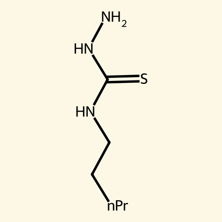 CCCCCNC(=S)NN